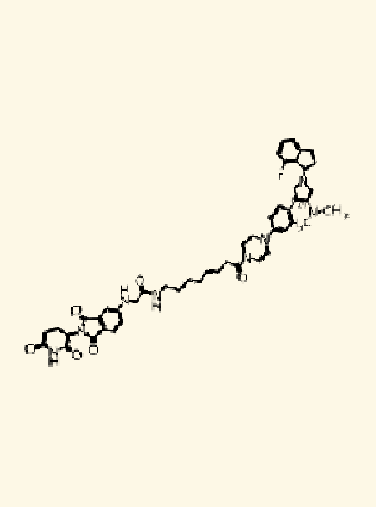 CN(C)[C@H]1CN(C2CCc3cccc(F)c32)C[C@@H]1c1ccc(N2CCN(C(=O)CCCCCCCNC(=O)CNc3ccc4c(c3)C(=O)N(C3CCC(=O)NC3=O)C4=O)CC2)cc1